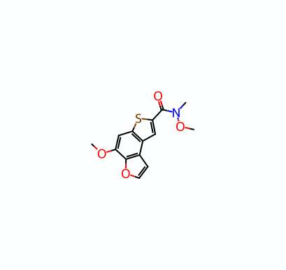 COc1cc2sc(C(=O)N(C)OC)cc2c2ccoc12